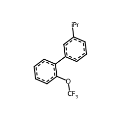 CC(C)c1cccc(-c2ccccc2OC(F)(F)F)c1